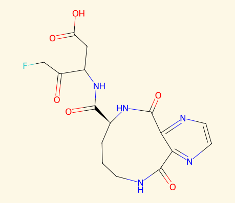 O=C(O)CC(NC(=O)[C@@H]1CCCNC(=O)c2nccnc2C(=O)N1)C(=O)CF